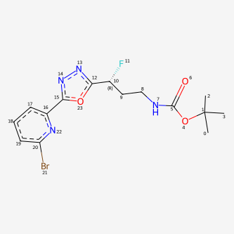 CC(C)(C)OC(=O)NCC[C@@H](F)c1nnc(-c2cccc(Br)n2)o1